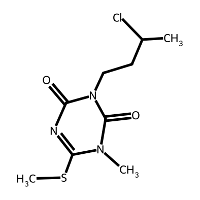 CSc1nc(=O)n(CCC(C)Cl)c(=O)n1C